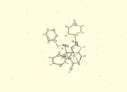 O=C1NC2(C(=O)NCc3ccccc3)C3CC1C(c1ccccc1)C2N(C1CCOCC1)C3